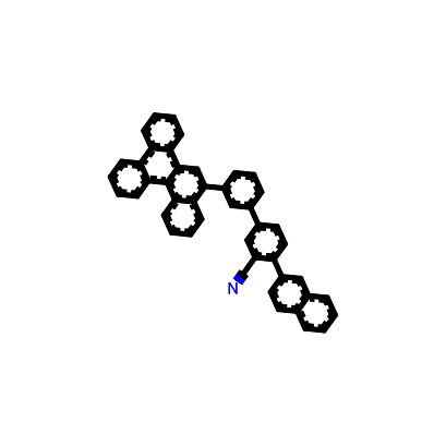 N#Cc1cc(-c2cccc(-c3cc4c5ccccc5c5ccccc5c4c4ccccc34)c2)ccc1-c1ccc2ccccc2c1